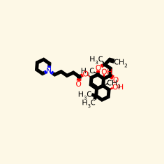 C=C[C@@]1(C)CC(=O)[C@@]2(O)[C@](C)(O1)[C@@H](OC(=O)CCCCN1CCCCC1)C=C1C(C)(C)CC[C@H](O)[C@@]12C